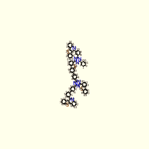 c1ccc(-c2nc(-c3cccc(-c4nc5ccccc5c5sc6ccccc6c45)c3)nc(-c3cccc4c3sc3cc(-c5ccc(-c6nc(-c7ccc(-c8cccc(-c9nc%10ccccc%10c%10sc%11ccccc%11c9%10)c8)cc7)nc(-c7cccc8c7sc7ccccc78)n6)cc5)ccc34)n2)cc1